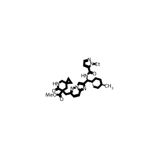 CCn1nccc1C(=O)N[C@H](c1cn2nc(CC3(C(=O)OC)CC4(CC4)CNC3=O)ccc2n1)[C@H]1CC[C@H](C)CC1